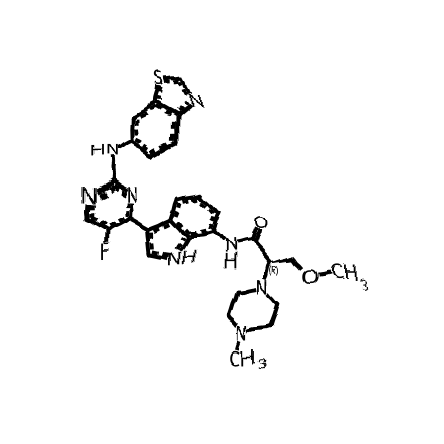 COC[C@H](C(=O)Nc1cccc2c(-c3nc(Nc4ccc5ncsc5c4)ncc3F)c[nH]c12)N1CCN(C)CC1